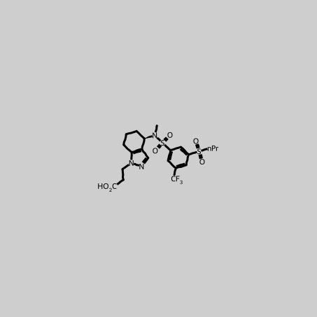 CCCS(=O)(=O)c1cc(C(F)(F)F)cc(S(=O)(=O)N(C)[C@@H]2CCCc3c2cnn3CCC(=O)O)c1